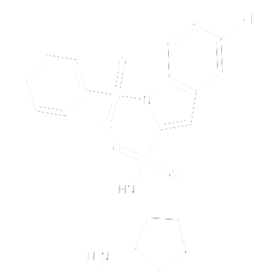 N[C@H]1CCC[C@H]1NS(=O)(=O)c1cc2cc(Cl)ccc2n1S(=O)(=O)c1ccccc1